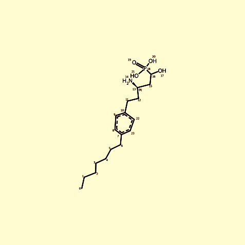 CCCCCCCc1ccc(CC[C@@H](N)CC(O)P(=O)(O)O)cc1